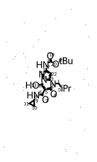 CC(C)Cn1c(=O)c(C(=O)NC2CC2)c(O)n2nc(NC(=O)OC(C)(C)C)cc12